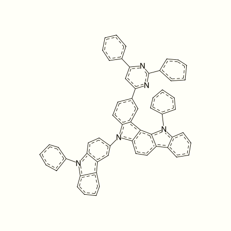 c1ccc(-c2cc(-c3ccc4c(c3)c3c(ccc5c6ccccc6n(-c6ccccc6)c53)n4-c3ccc4c(c3)c3ccccc3n4-c3ccccc3)nc(-c3ccccc3)n2)cc1